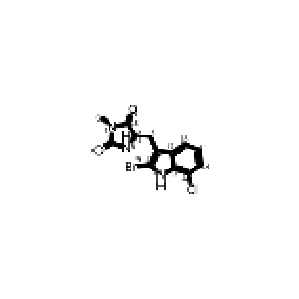 CN1C(=O)N[C@H](Cc2c(Br)[nH]c3c(Cl)cccc23)C1=O